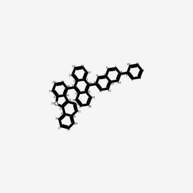 c1ccc(-c2ccc3cc(-c4c5ccccc5c(-c5cccc6oc7c8ccccc8ccc7c56)c5ccccc45)ccc3c2)cc1